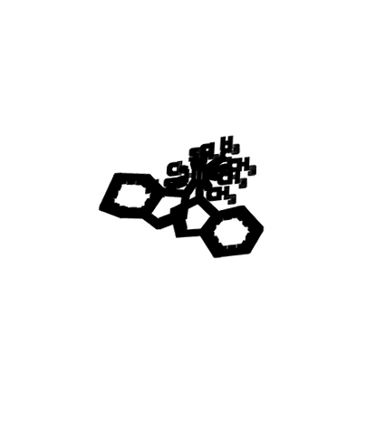 [CH3][Hf]([CH3])([CH3])([CH3])(=[SiH2])(=[SiH2])([Cl])([Cl])([CH]1C=Cc2ccccc21)[CH]1C=Cc2ccccc21